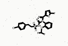 O=S(=O)(CCc1ccc(Cl)cc1)Nc1nnc(-c2ccc(F)s2)n1-c1ccccc1OC(F)F